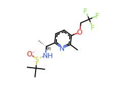 Cc1nc([C@@H](C)N[S+]([O-])C(C)(C)C)ccc1OCC(F)(F)F